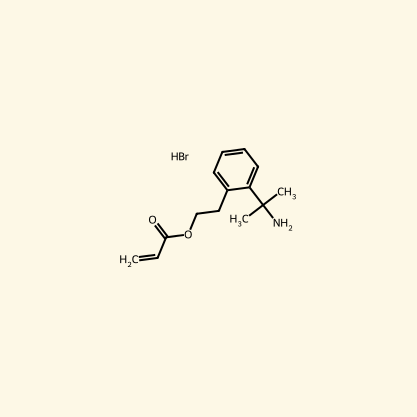 Br.C=CC(=O)OCCc1ccccc1C(C)(C)N